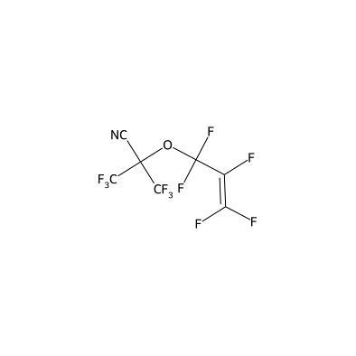 N#CC(OC(F)(F)C(F)=C(F)F)(C(F)(F)F)C(F)(F)F